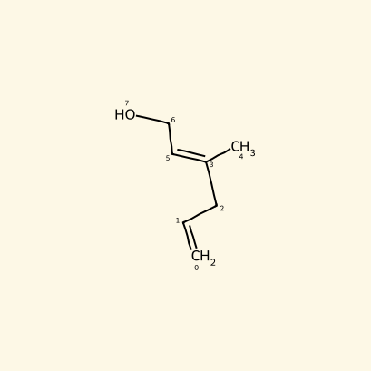 C=CCC(C)=CCO